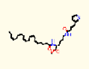 CC/C=C\C/C=C\C/C=C\C/C=C\C/C=C\CCCC(=O)N[C@@H](CCCCNC(=O)C/C=C/c1cccnc1)C(=O)OC